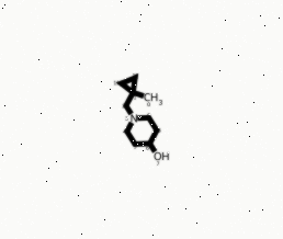 CC1(CN2CCC(O)CC2)CC1